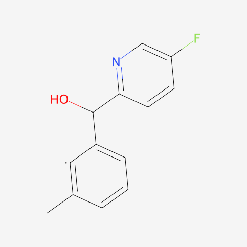 Cc1[c]c(C(O)c2ccc(F)cn2)ccc1